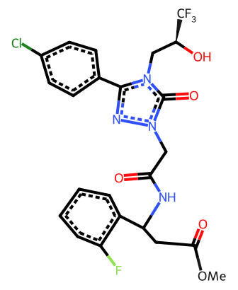 COC(=O)CC(NC(=O)Cn1nc(-c2ccc(Cl)cc2)n(C[C@H](O)C(F)(F)F)c1=O)c1ccccc1F